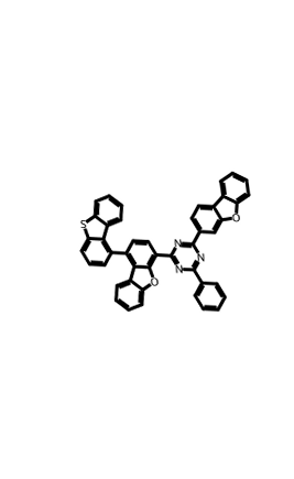 c1ccc(-c2nc(-c3ccc4c(c3)oc3ccccc34)nc(-c3ccc(-c4cccc5sc6ccccc6c45)c4c3oc3ccccc34)n2)cc1